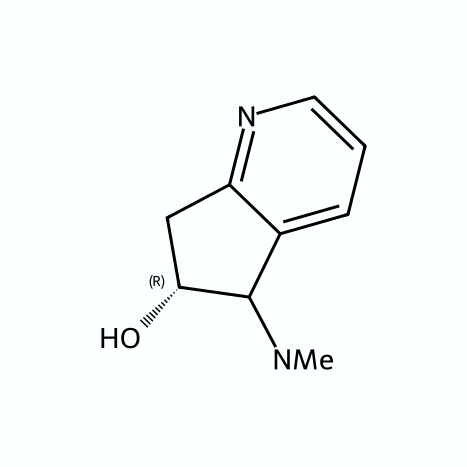 CNC1c2cccnc2C[C@H]1O